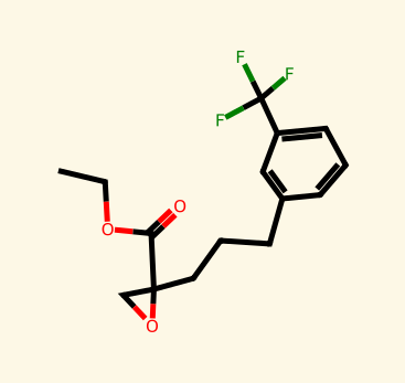 CCOC(=O)C1(CCCc2cccc(C(F)(F)F)c2)CO1